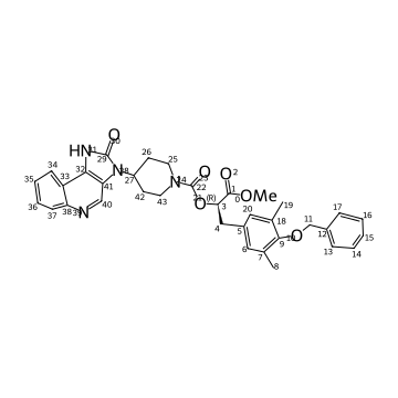 COC(=O)[C@@H](Cc1cc(C)c(OCc2ccccc2)c(C)c1)OC(=O)N1CCC(n2c(=O)[nH]c3c4ccccc4ncc32)CC1